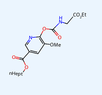 CCCCCCCOC(=O)c1cnc(OC(=O)NCC(=O)OCC)c(OC)c1